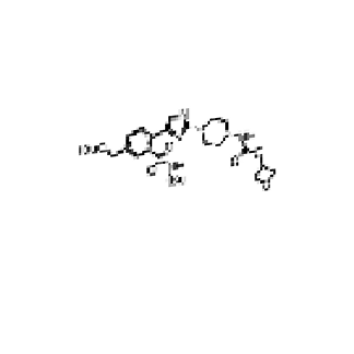 CC(C)COCc1ccc(-c2cnc([C@H]3CC[C@H](NC(=O)OC4COC4)CC3)s2)c(S(=O)(=O)NC(C)(C)C)c1